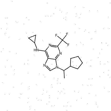 CC(C1CCCC1)n1cnc2c(NC3CC3)nc(C(F)(F)F)nc21